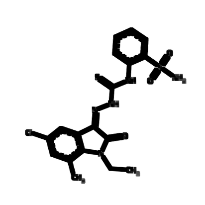 CCN1C(=O)C(=NNC(=S)Nc2ccccc2S(N)(=O)=O)c2cc(Cl)cc(C)c21